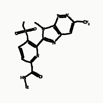 CCNC(=O)c1ccc(S(C)(=O)=O)c(-c2nc3cc(C(F)(F)F)nnc3n2C)n1